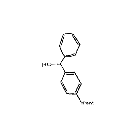 CCCCCc1ccc(C(O)c2ccccc2)cc1